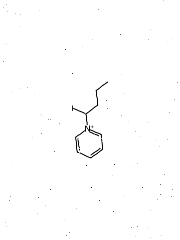 CCCC(I)[n+]1ccccc1